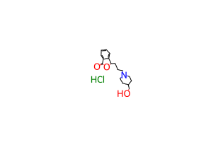 Cl.O=C1OC(CCCN2CCC(CO)CC2)c2ccccc21